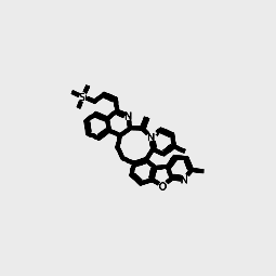 C=C1C2N=C(/C=C\C[Si](C)(C)C)c3ccccc3C2CCc2ccc3oc4nc(C)ccc4c3c2-c2cc(C)cc[n+]21